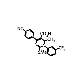 CSC1=NC(c2ccc(C#N)cc2)=C(C(=O)O)C(C)N1c1cccc(C(F)(F)F)c1